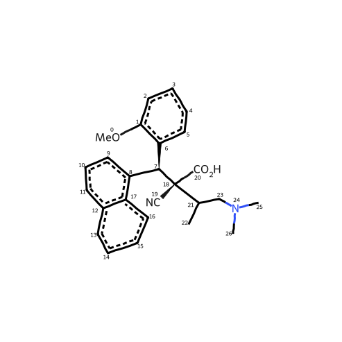 COc1ccccc1[C@H](c1cccc2ccccc12)[C@](C#N)(C(=O)O)C(C)CN(C)C